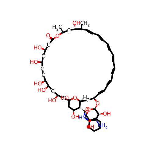 C[C@H]1C[C@H](O)[C@@H](C)/C=C/C=C/C=C/C=C/C=C/C=C/C=C/C(O[C@@H]2OC[C@@H](O)[C@H](N)[C@@H]2O)C[C@@H]2OC(O)(CC(O)CC(O)C(O)CCC(O)CC(O)CC(=O)O1)C[C@H](O)[C@H]2C(=O)NC1CCCCC1